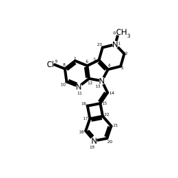 CN1CCc2c(c3cc(Cl)cnc3n2/C=C2\Cc3cnccc32)C1